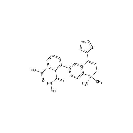 CC1(C)CC=C(c2cccs2)c2cc(-c3cccc(C(=O)O)c3C(=O)NO)ccc21